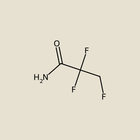 NC(=O)C(F)(F)CF